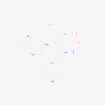 O=[N+]([O-])c1c(B(O)O)c2ccccc2c2ccccc12